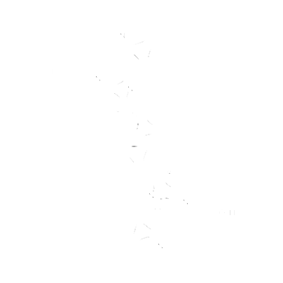 Cc1c(COc2nc(OCc3ccc(F)c(C#N)c3)c(CNCCCC(=O)O)cc2Br)cccc1-c1cccc(COc2nc(OCc3ccc(F)c(C#N)c3)c(CNCCCC(=O)O)cc2Br)c1C